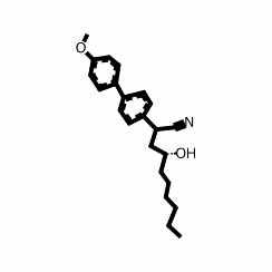 CCCCCC[C@@H](O)CC(C#N)c1ccc(-c2ccc(OC)cc2)cc1